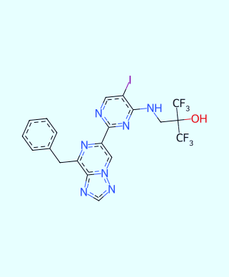 OC(CNc1nc(-c2cn3ncnc3c(Cc3ccccc3)n2)ncc1I)(C(F)(F)F)C(F)(F)F